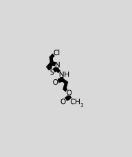 CC(=O)OCCC(=O)Nc1nc(CCl)cs1